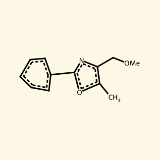 COCc1nc(-c2ccccc2)oc1C